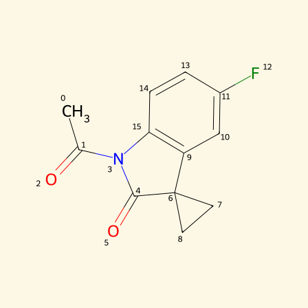 CC(=O)N1C(=O)C2(CC2)c2cc(F)ccc21